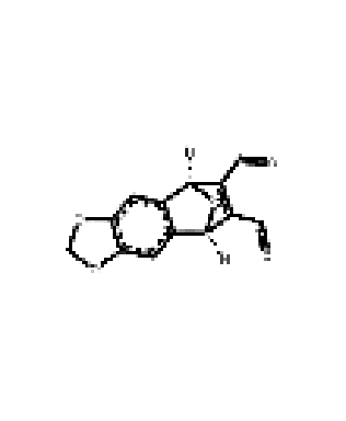 O=CC1=C(C=O)[C@@H]2O[C@H]1c1cc3c(cc12)OCO3